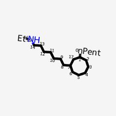 CCCCCC1CCCCCC(CCCCCCCNCC)C1